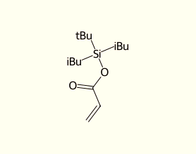 C=CC(=O)O[Si](C(C)CC)(C(C)CC)C(C)(C)C